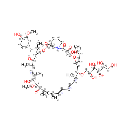 CO[C@@H]1C[C@H](C[C@@H](C)[C@@H]2CC(=O)[C@H](C)/C=C(\C)[C@@H](O)[C@@H](OC)C(=O)[C@H](C)C[C@H](C)/C=C/C=C/C=C(\C)C(OC[C@H](O)[C@@H](O)[C@@H](O)[C@H](O)CO)C[C@@H]3CC[C@@H](C)[C@@](O)(O3)C(=O)C(=O)N3CCCC[C@H]3C(=O)O2)CC[C@H]1O